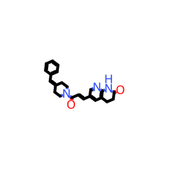 O=C1CCc2cc(C=CC(=O)N3CCC(=Cc4ccccc4)CC3)cnc2N1